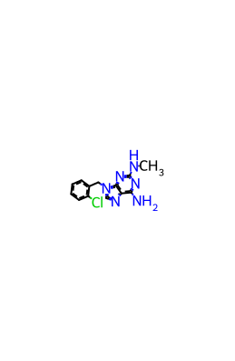 CNc1nc(N)c2ncn(Cc3ccccc3Cl)c2n1